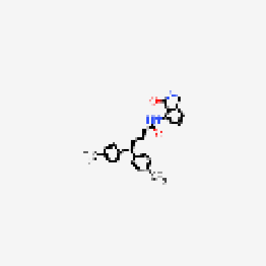 O=C(C=CC=C(c1ccc(C(F)(F)F)cc1)c1ccc(C(F)(F)F)cc1)Nc1cccc2c1C(=O)NC2